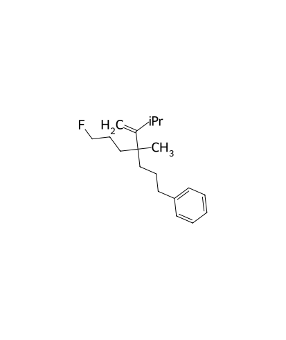 C=C(C(C)C)C(C)(CCCF)CCCc1ccccc1